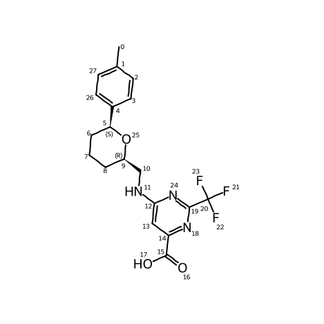 Cc1ccc([C@@H]2CCC[C@H](CNc3cc(C(=O)O)nc(C(F)(F)F)n3)O2)cc1